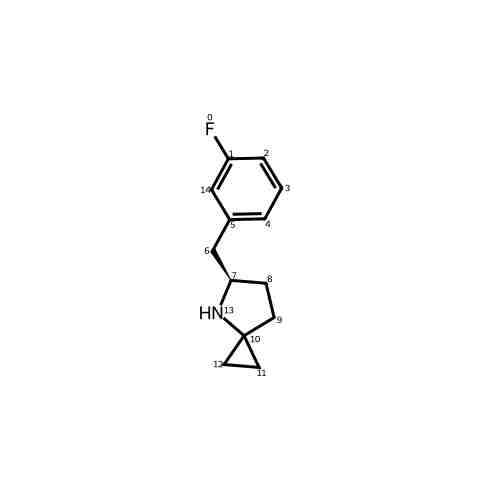 Fc1cccc(C[C@H]2CCC3(CC3)N2)c1